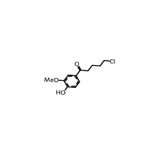 COc1cc(C(=O)CCCCCl)ccc1O